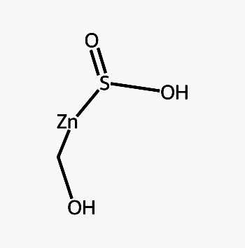 O=[S](O)[Zn][CH2]O